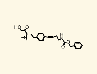 CN(C)[C@@H](CCc1ccc(C#CCCNC(=O)OCc2ccccc2)cc1)C(=O)CO